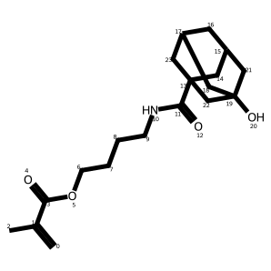 C=C(C)C(=O)OCCCCNC(=O)C12CC3CC(CC(O)(C3)C1)C2